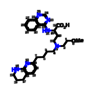 COCCN(CCCCc1ccc2c(n1)NCCC2)CCC(Nc1ncnc2ccccc12)C(=O)O